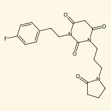 O=C1CCCN1CCCN1C(=O)CC(=O)N(CCc2ccc(F)cc2)C1=O